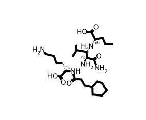 CC(C)C[C@H](N)C(N)=O.CCC[C@H](N)C(=O)O.NCCCC[C@H](NC(=O)CCC1CCCCC1)C(=O)O